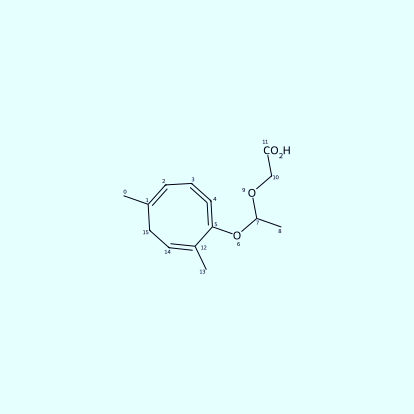 C/C1=C/C=C=C(OC(C)OCC(=O)O)/C(C)=C\C1